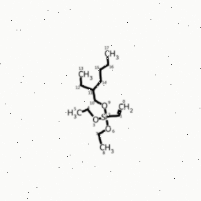 C=C[Si](OCC)(OCC)OCC(CC)CCCC